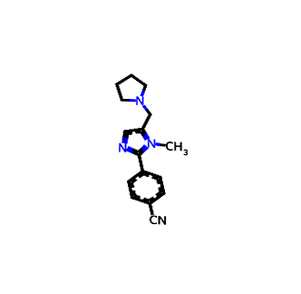 Cn1c(CN2CCCC2)cnc1-c1ccc(C#N)cc1